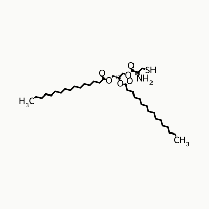 CCCCCCCCCCCCCCCC(=O)OC[C@@H](COC(=O)[C@@H](N)CS)OC(=O)CCCCCCCCCCCCCCC